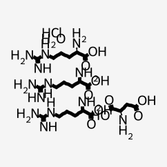 Cl.N=C(N)NCCCC(N)C(=O)O.N=C(N)NCCCC(N)C(=O)O.N=C(N)NCCC[C@H](N)C(=O)O.N[C@@H](CC(=O)O)C(=O)O.O